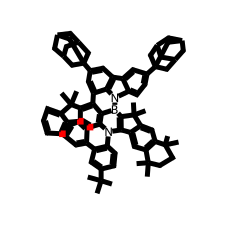 CC(C)(C)c1ccc(N2C3=C(B4c5c2cc2c(c5-c5cc(C67CC8CC(CC(C8)C6)C7)cc6c7cc(C89CC%10CC(CC(C%10)C8)C9)ccc7n4c56)C(C)(C)c4ccccc4-2)C(C)(C)c2cc4c(cc23)C(C)(C)CCC4(C)C)c(-c2ccccc2)c1